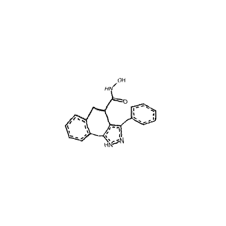 O=C(NO)C1Cc2ccccc2-c2[nH]nc(-c3ccccc3)c21